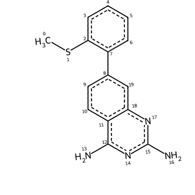 CSc1ccccc1-c1ccc2c(N)nc(N)nc2c1